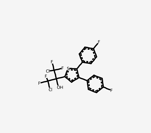 OC(c1cc(-c2ccc(F)cc2)c(-c2ccc(F)cc2)s1)(C(F)(F)Cl)C(F)(F)Cl